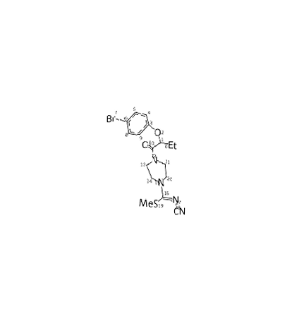 CCC(Oc1ccc(Br)cc1)C(=O)N1CCN(C(=NC#N)SC)CC1